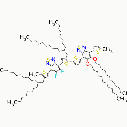 CCCCCCCCCCCCOc1c(OCCCCCCCCCCCC)c(-c2ccc(-c3sc(-c4c(F)c(F)c(-c5cc(CC(CCCCCCCC)CCCCCCCCCC)c(C)s5)c5nsnc45)cc3CC(CCCCCCCC)CCCCCCCCCC)s2)c2nsnc2c1-c1ccc(C)s1